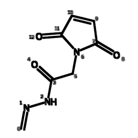 C=NNC(=O)CN1C(=O)C=CC1=O